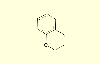 [c]1cccc2c1OCCC2